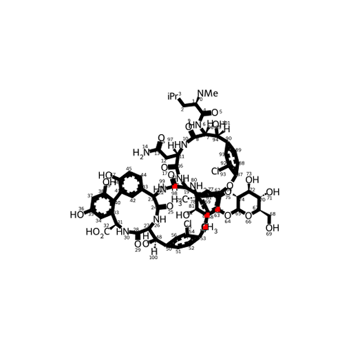 CN[C@H](CC(C)C)C(=O)N[C@H]1C(=O)N[C@@H](CC(N)=O)C(=O)N[C@H]2C(=O)N[C@H]3C(=O)NC(C(=O)N[C@@H](C(=O)O)c4cc(O)cc(O)c4-c4cc3ccc4O)[C@H](O)c3ccc(c(Cl)c3)Oc3cc2cc(c3OC2O[C@H](CO)[C@@H](O)[C@H](O)[C@H]2OC2C[C@](C)(N)[C@H](O)[C@H](C)O2)Oc2ccc(cc2Cl)[C@H]1O